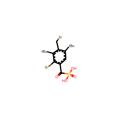 CC(C)(C)c1cc(C(=O)P(=O)(O)O)c(Br)c(C(C)(C)C)c1CBr